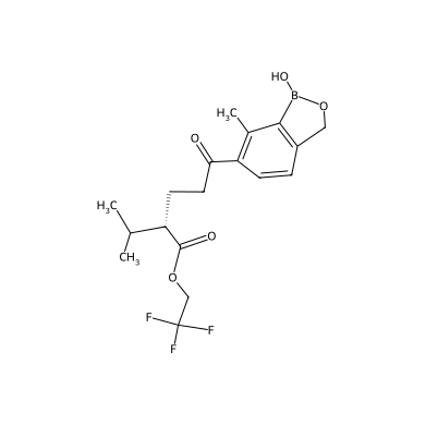 Cc1c(C(=O)CC[C@H](C(=O)OCC(F)(F)F)C(C)C)ccc2c1B(O)OC2